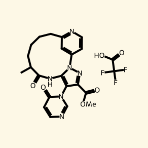 COC(=O)c1nn2c(c1-n1cnccc1=O)NC(=O)C(C)CCCCc1cc-2ccn1.O=C(O)C(F)(F)F